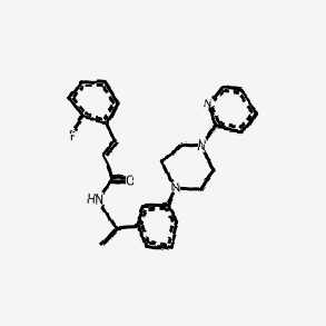 CC(NC(=O)C=Cc1ccccc1F)c1cccc(N2CCN(c3ccccn3)CC2)c1